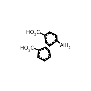 O=C(O)c1cc[c]([AlH2])cc1.O=C(O)c1ccccc1